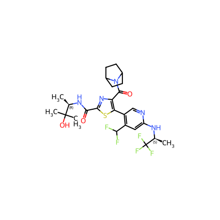 C[C@H](Nc1cc(C(F)F)c(-c2sc(C(=O)N[C@H](C)C(C)(C)O)nc2C(=O)N2C3CCC2CC3)cn1)C(F)(F)F